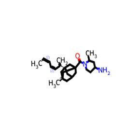 C=C(/C=C\C=C/C)[C@]12CC3CC(C(=O)N4CCC(N)CC4C)(C[C@](C)(C3)C1)C2